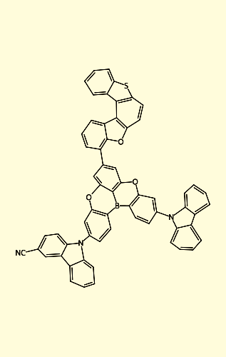 N#Cc1ccc2c(c1)c1ccccc1n2-c1ccc2c(c1)Oc1cc(-c3cccc4c3oc3ccc5sc6ccccc6c5c34)cc3c1B2c1ccc(-n2c4ccccc4c4ccccc42)cc1O3